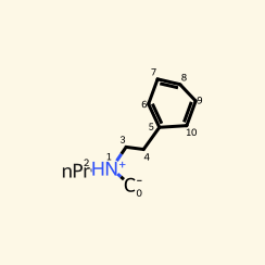 [CH2-][NH+](CCC)CCc1ccccc1